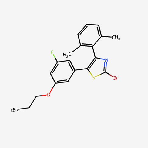 Cc1cccc(C)c1-c1nc(Br)sc1-c1cc(F)cc(OCCC(C)(C)C)c1